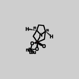 CCCO[C@H]1C[C@H]2CC[C@@H](C1)N2C(=O)OC(C)(C)C